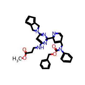 COC(=O)CCNc1cc(N2Cc3ccccc3C2)nc(-c2cc(CN(C(=O)OCc3ccccc3)c3ccccc3)ccn2)n1